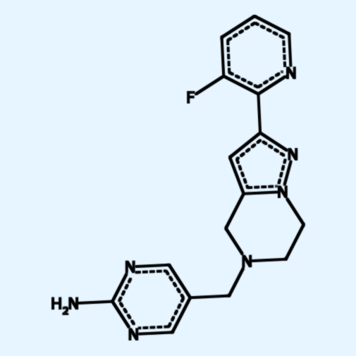 Nc1ncc(CN2CCn3nc(-c4ncccc4F)cc3C2)cn1